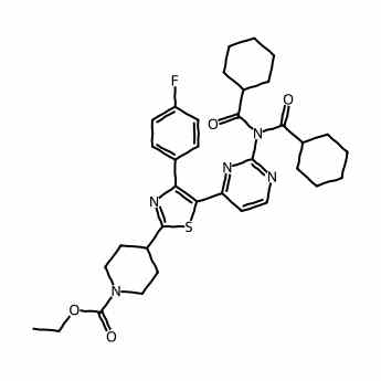 CCOC(=O)N1CCC(c2nc(-c3ccc(F)cc3)c(-c3ccnc(N(C(=O)C4CCCCC4)C(=O)C4CCCCC4)n3)s2)CC1